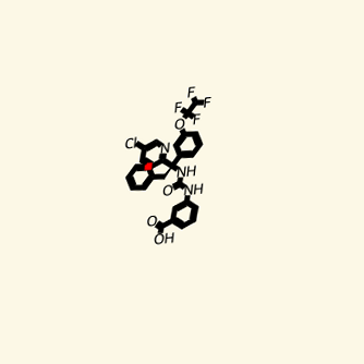 O=C(Nc1cccc(C(=O)O)c1)N[C@@](Cc1ccccc1)(c1cccc(OC(F)(F)C(F)F)c1)c1ccc(Cl)cn1